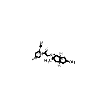 CC1(NCC(=O)N2C[C@@H](F)C[C@H]2C#N)C[C@H]2CC(O)C[C@H]2C1